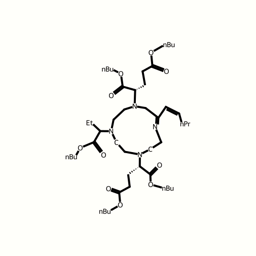 CCC/C=C\C1=N/CCN([C@@H](CCC(=O)OCCCC)C(=O)OCCCC)CCN(C(CC)C(=O)OCCCC)CCN([C@@H](CCC(=O)OCCCC)C(=O)OCCCC)C1